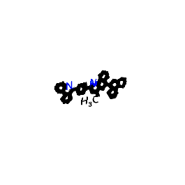 CCc1cc(-c2ccc(-c3nc4ccccc4c4ccccc34)cc2)nc2c1cc(-c1cc3c(c4ccccc14)CCC=C3)c1ccccc12